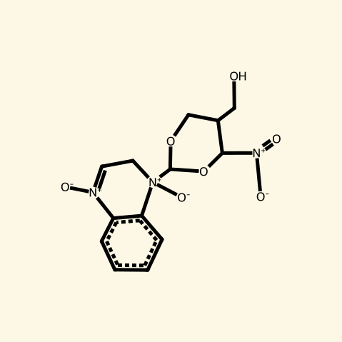 O=[N+]([O-])C1OC([N+]2([O-])CC=[N+]([O-])c3ccccc32)OCC1CO